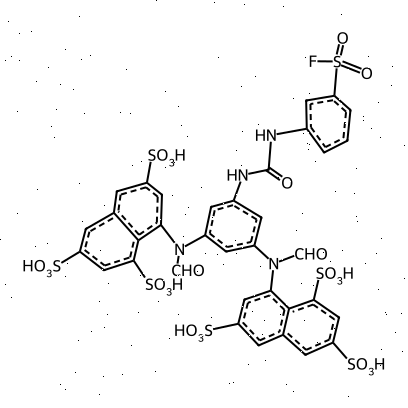 O=CN(c1cc(NC(=O)Nc2cccc(S(=O)(=O)F)c2)cc(N(C=O)c2cc(S(=O)(=O)O)cc3cc(S(=O)(=O)O)cc(S(=O)(=O)O)c23)c1)c1cc(S(=O)(=O)O)cc2cc(S(=O)(=O)O)cc(S(=O)(=O)O)c12